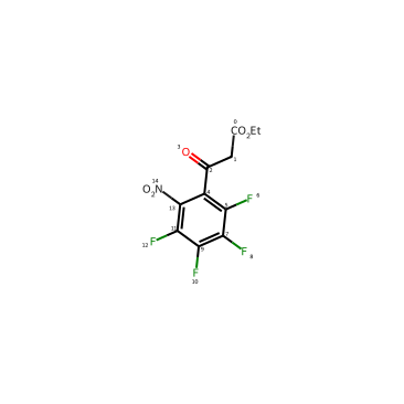 CCOC(=O)CC(=O)c1c(F)c(F)c(F)c(F)c1[N+](=O)[O-]